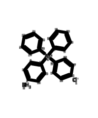 B.[Cl-].c1ccc([As+](c2ccccc2)(c2ccccc2)c2ccccc2)cc1